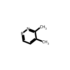 Cc1ccbnc1C